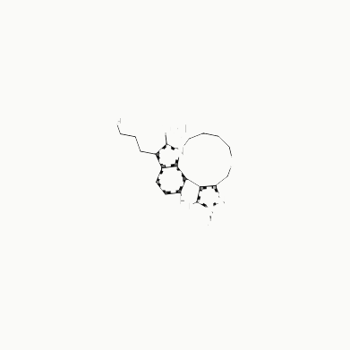 CCOC(=O)c1c(CCCBr)c2ccc(F)c3c2n1CCCCOCc1nn(C)c(CC)c1-3